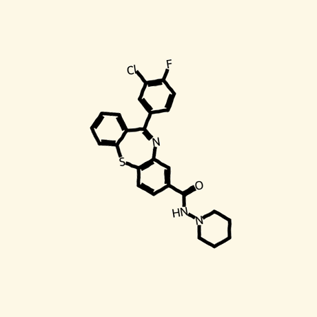 O=C(NN1CCCCC1)c1ccc2c(c1)N=C(c1ccc(F)c(Cl)c1)c1ccccc1S2